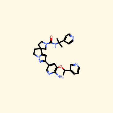 CC(Oc1cc(-c2cc3n(n2)CCC32CCN(C(=O)NC(C)(C)c3ccncc3)C2)cnc1N)c1cccnc1